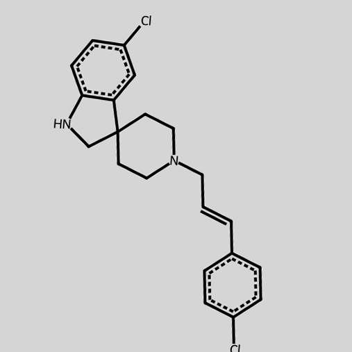 Clc1ccc(/C=C/CN2CCC3(CC2)CNc2ccc(Cl)cc23)cc1